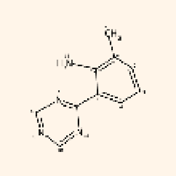 Cc1cccc(-c2ncncn2)c1N